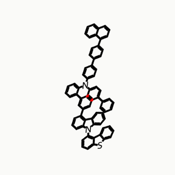 c1ccc(-c2ccc(N(c3ccc(-c4ccc(-c5cccc6ccccc56)cc4)cc3)c3ccccc3-c3cccc(-c4cccc5c4c4ccccc4n5-c4cccc5sc6ccccc6c45)c3)cc2)cc1